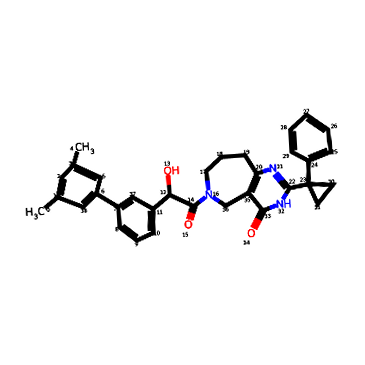 Cc1cc(C)cc(-c2cccc(C(O)C(=O)N3CCCc4nc(C5(c6ccccc6)CC5)[nH]c(=O)c4C3)c2)c1